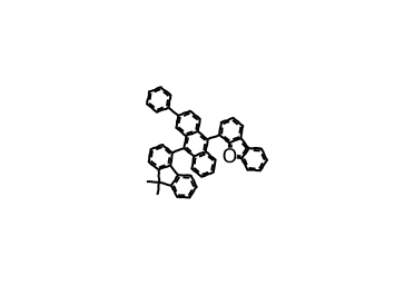 CC1(C)c2ccccc2-c2c(-c3c4ccccc4c(-c4cccc5c4oc4ccccc45)c4ccc(-c5ccccc5)cc34)cccc21